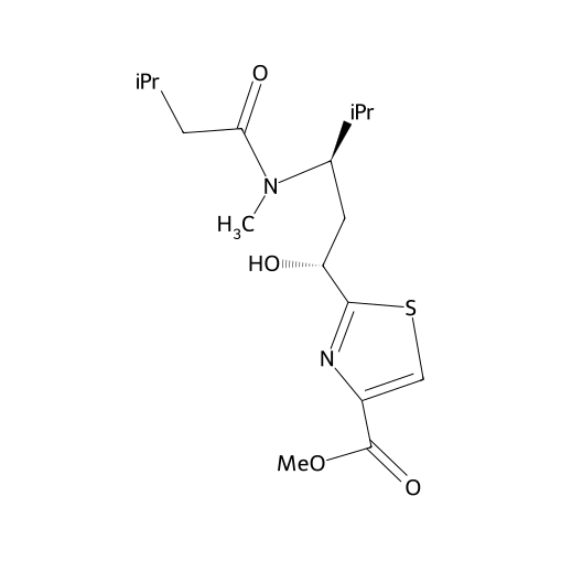 COC(=O)c1csc([C@H](O)C[C@H](C(C)C)N(C)C(=O)CC(C)C)n1